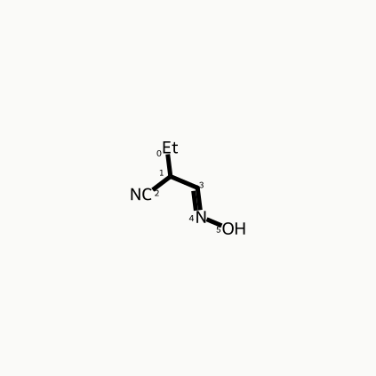 CCC(C#N)C=NO